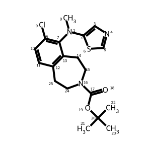 CN(c1cncs1)c1c(Cl)ccc2c1CCN(C(=O)OC(C)(C)C)CC2